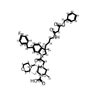 C[C@@H]1COCCN1C[C@H]1CN(C(=O)O)[C@H](C)CN1CC(=O)N1C[C@@](C)(CCCNC(=O)CC(=O)OCc2ccccc2)c2ccc(Cc3ccc(F)cc3)cc21